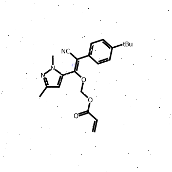 C=CC(=O)OCO/C(=C(/C#N)c1ccc(C(C)(C)C)cc1)c1cc(C)nn1C